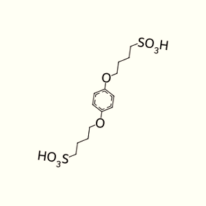 O=S(=O)(O)CCCCOc1ccc(OCCCCS(=O)(=O)O)cc1